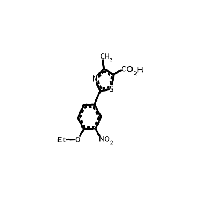 CCOc1ccc(-c2nc(C)c(C(=O)O)s2)cc1[N+](=O)[O-]